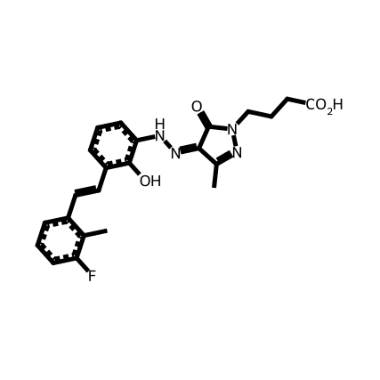 CC1=NN(CCCC(=O)O)C(=O)/C1=N\Nc1cccc(/C=C/c2cccc(F)c2C)c1O